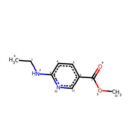 CCNc1ccc(C(=O)OC)cn1